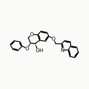 O[C@@H]1c2cc(OCc3ccc4ccccc4n3)ccc2OC[C@@H]1Oc1ccccc1